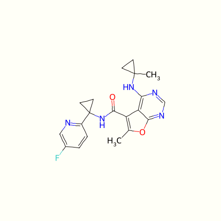 Cc1oc2ncnc(NC3(C)CC3)c2c1C(=O)NC1(c2ccc(F)cn2)CC1